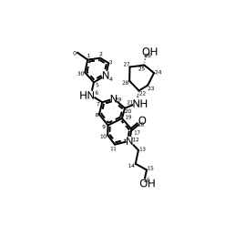 Cc1ccnc(Nc2cc3ccn(CCCO)c(=O)c3c(N[C@H]3CC[C@@H](O)CC3)n2)c1